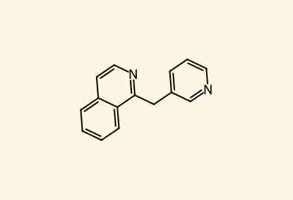 c1cncc(Cc2nccc3ccccc23)c1